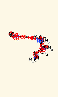 COc1cc2c(cc1OCCCCCOc1cc3c(cc1OC)C(=O)N1C=C(C)C[C@H]1[C@H](O)N3C(=O)OCc1ccc(NC(=O)[C@H](C)NC(=O)[C@@H](NC(=O)CCOCCOCCOCCOCCOCCOCCOCCOCCNC(=O)CCN3C(O)CC(CC4CCCCCCCCCC4)C3O)C(C)C)cc1)N=C[C@@H]1CC(C)=CN1C2=O